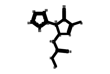 CCC(=O)OC1C=C(C)C(=O)N1c1ncns1